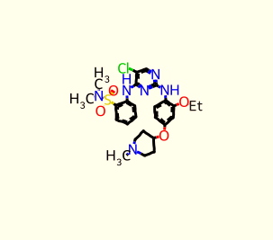 CCOc1cc(OC2CCN(C)CC2)ccc1Nc1ncc(Cl)c(Nc2ccccc2S(=O)(=O)N(C)C)n1